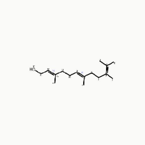 CC(C)=C(C)CC/C(C)=C/CC/C(C)=C/CO